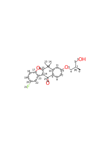 C[C@H](CO)COc1ccc2c(c1)C(C)(C)c1oc3ccc(F)cc3c1C2=O